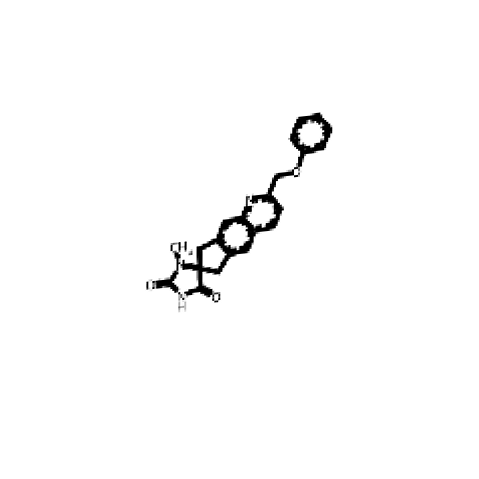 CN1C(=O)NC(=O)C12Cc1cc3ccc(COc4ccccc4)nc3cc1C2